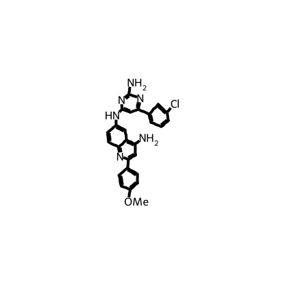 COc1ccc(-c2cc(N)c3cc(Nc4cc(-c5cccc(Cl)c5)nc(N)n4)ccc3n2)cc1